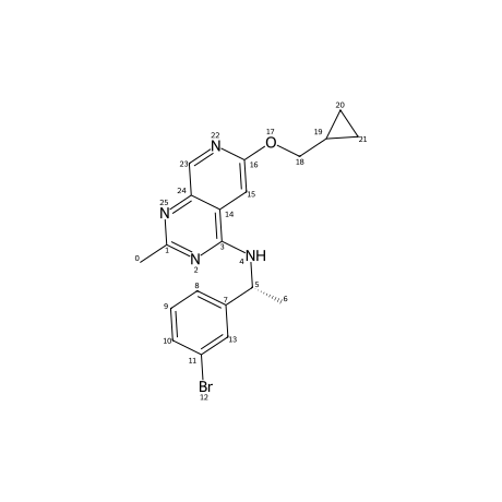 Cc1nc(N[C@H](C)c2cccc(Br)c2)c2cc(OCC3CC3)ncc2n1